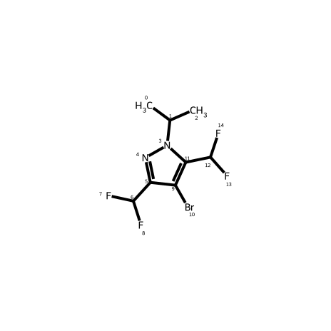 CC(C)n1nc(C(F)F)c(Br)c1C(F)F